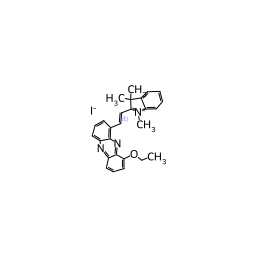 CCOc1cccc2nc3cccc(/C=C/C4=[N+](C)c5ccccc5C4(C)C)c3nc12.[I-]